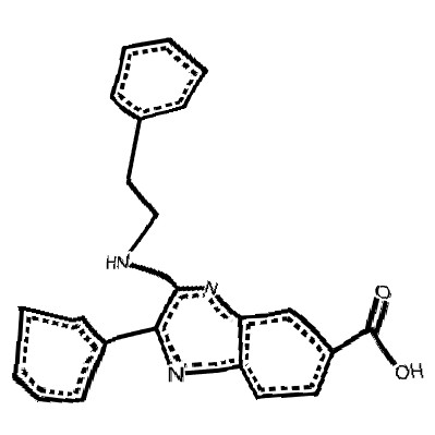 O=C(O)c1ccc2nc(-c3ccccc3)c(NCCc3ccccc3)nc2c1